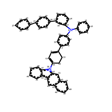 C1=C(c2ccc(N(c3ccccc3)c3cccc(-c4ccc(-c5ccccc5)cc4)c3)cc2)CCC(n2c3ccccc3c3cc4ccccc4cc32)=C1